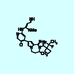 CN/C(=C\C=N)Nc1cc(-c2cc3n(c2)CC[C@H](C)n2c-3nnc2C2(C(C)(F)F)CCC2)c(Cl)cn1